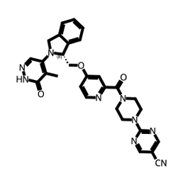 Cc1c(N2Cc3ccccc3[C@@H]2COc2ccnc(C(=O)N3CCN(c4ncc(C#N)cn4)CC3)c2)cn[nH]c1=O